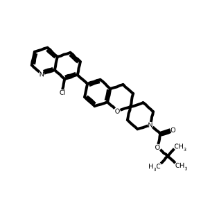 CC(C)(C)OC(=O)N1CCC2(CCc3cc(-c4ccc5cccnc5c4Cl)ccc3O2)CC1